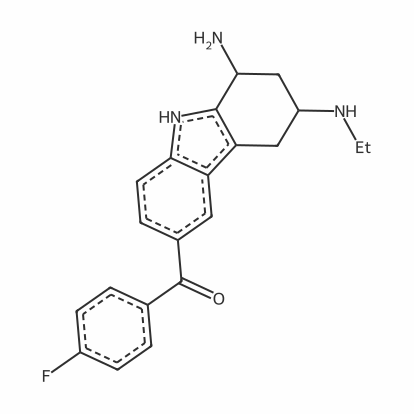 CCNC1Cc2c([nH]c3ccc(C(=O)c4ccc(F)cc4)cc23)C(N)C1